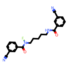 N#Cc1cccc(C(=O)NCCCCCN(F)C(=O)c2cccc(C#N)c2)c1